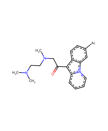 CC(=O)c1ccc2c(C(=O)CN(C)CCN(C)C)c3ccccn3c2c1